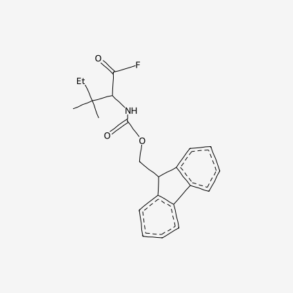 CCC(C)(C)C(NC(=O)OCC1c2ccccc2-c2ccccc21)C(=O)F